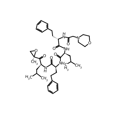 CC(C)C[C@H](NC(=O)[C@H](CCc1ccccc1)NC(=O)CN1CCOCC1)C(=O)N[C@@H](CCc1ccccc1)C(=O)N[C@@H](CC(C)C)C(=O)[C@@]1(C)CO1